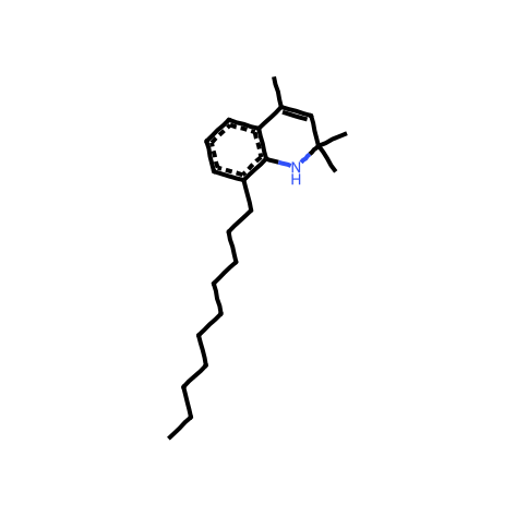 CCCCCCCCCCc1cccc2c1NC(C)(C)C=C2C